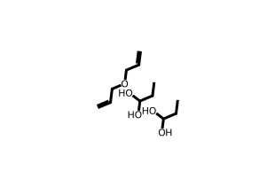 C=CCOCC=C.CCC(O)O.CCC(O)O